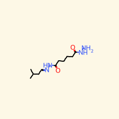 CC(C)C/C=N/NC(=O)CCCCC(=O)NN